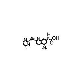 Cc1ccnc([C@H]2C[C@@H]2c2ccc3c(N(C)C)cc(NC(=O)O)cc3n2)n1